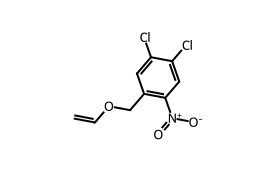 C=COCc1cc(Cl)c(Cl)cc1[N+](=O)[O-]